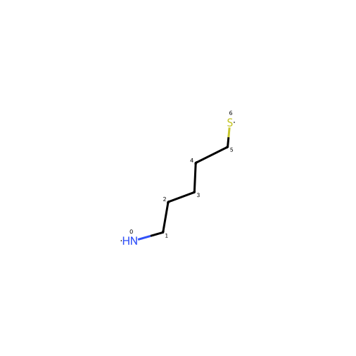 [NH]CCCCC[S]